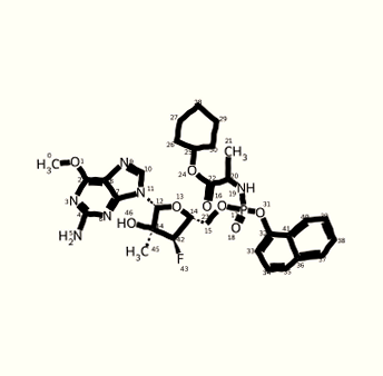 COc1nc(N)nc2c1ncn2[C@@H]1O[C@H](COP(=O)(NC(C)C(=O)OC2CCCCC2)Oc2cccc3ccccc23)[C@@H](F)[C@@]1(C)O